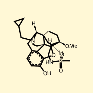 CO[C@]12CC[C@@]3(C[C@@H]1CNS(C)(=O)=O)[C@H]1Cc4ccc(O)c5c4[C@@]3(CCN1CC1CC1)[C@H]2O5